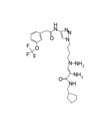 N/C(=C\N(N)CCCCn1cc(NC(=O)Cc2cccc(OC(F)(F)F)c2)nn1)C(=O)NCC1CCCC1